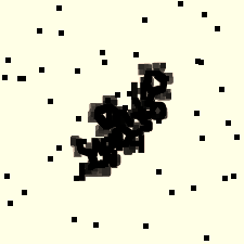 CCc1nc(N2C[C@H]3CSC(NC(=O)c4ccccc4)N[C@@]3(c3ccccc3)C2)ncc1F